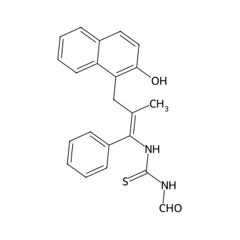 C/C(Cc1c(O)ccc2ccccc12)=C(\NC(=S)NC=O)c1ccccc1